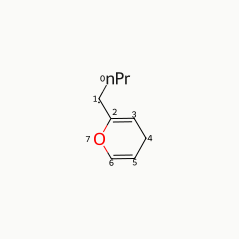 CCC[CH]C1=CCC=CO1